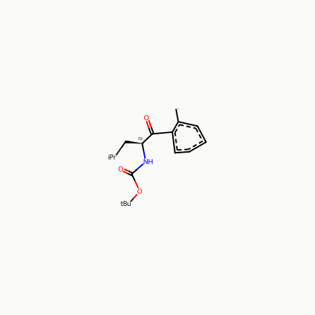 [CH2]c1ccccc1C(=O)[C@H](CC(C)C)NC(=O)OC(C)(C)C